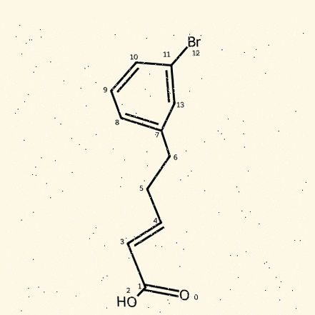 O=C(O)C=CCCc1cccc(Br)c1